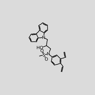 C=Cc1ccc(N(CC(O)Cn2c3ccccc3c3ccccc32)S(C)(=O)=O)cc1C=C